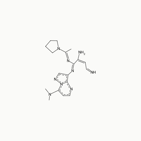 C\C(=N/C(=N\c1cnn2c(N(C)C)ccnc12)C(/N)=C\C=N)N1CCCC1